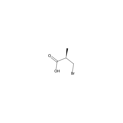 C[C@@H](CBr)C(=O)O